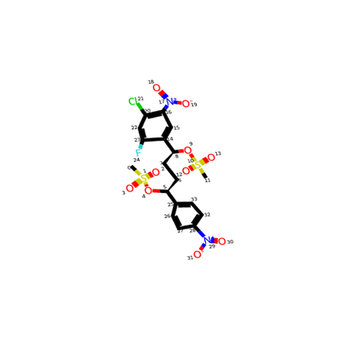 CS(=O)(=O)O[C@@H](CC[C@H](OS(C)(=O)=O)c1cc([N+](=O)[O-])c(Cl)cc1F)c1ccc([N+](=O)[O-])cc1